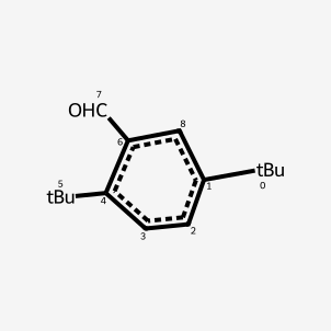 CC(C)(C)c1ccc(C(C)(C)C)c(C=O)c1